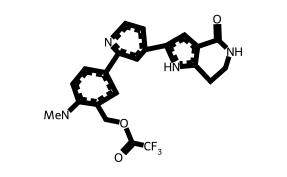 CNc1ccc(-c2cc(-c3cc4c([nH]3)CCNC4=O)ccn2)cc1COC(=O)C(F)(F)F